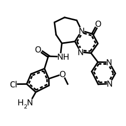 COc1cc(N)c(Cl)cc1C(=O)NC1CCCCn2c1nc(-c1ccncn1)cc2=O